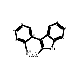 CCOC(=O)c1[nH]c2ccccc2c1-c1ccccc1C(C)(C)C